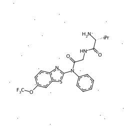 CC(C)[C@@H](N)C(=O)NCC(=O)N(c1ccccc1)c1nc2ccc(OC(F)(F)F)cc2s1